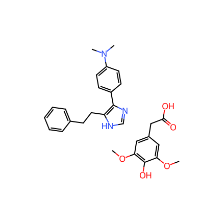 CN(C)c1ccc(-c2nc[nH]c2CCc2ccccc2)cc1.COc1cc(CC(=O)O)cc(OC)c1O